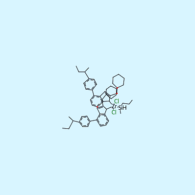 CCC[SiH](C)[Zr]([Cl])([Cl])([CH]1C(CC2CCCCC2)=Cc2c(-c3ccc(C(C)CC)cc3)cccc21)[CH]1C(CC2CCCCC2)=Cc2c(-c3ccc(C(C)CC)cc3)cccc21